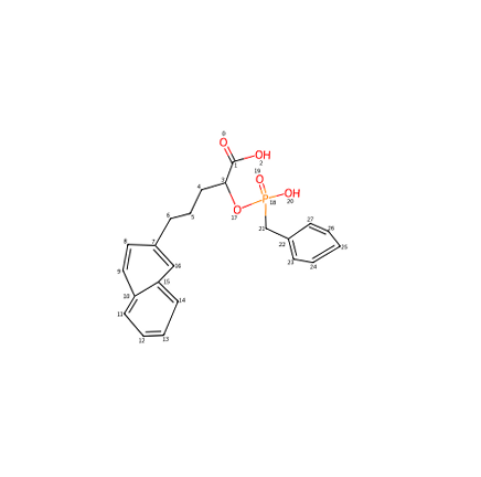 O=C(O)C(CCCc1ccc2ccccc2c1)OP(=O)(O)Cc1ccccc1